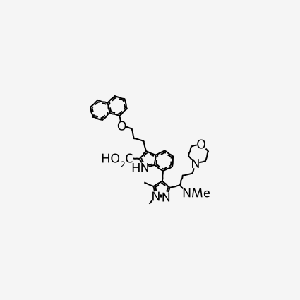 CNC(CCN1CCOCC1)c1nn(C)c(C)c1-c1cccc2c(CCCOc3cccc4ccccc34)c(C(=O)O)[nH]c12